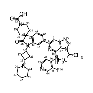 CC(C)n1cnc2cc(-c3ccc4c(c3)N([C@H]3C[C@@H](N5CCCCC5)C3)C(=O)C43CCN(C(=O)O)CC3)nc(Nc3ccncc3F)c21